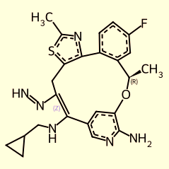 Cc1nc2c(s1)C/C(N=N)=C(/NCC1CC1)c1cnc(N)c(c1)O[C@H](C)c1cc(F)ccc1-2